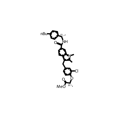 CCCCc1ccc([C@H](C)NC(=O)c2ccc3c(Cc4ccc(O[C@H](C)C(=O)OC)c(Cl)c4)c(C)n(C)c3c2)cc1